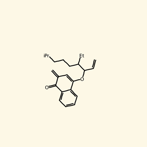 C=CC(OC1=CC(=C)C(=O)c2ccccc21)C(CC)CCCC(C)C